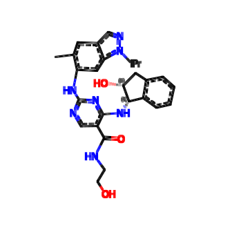 Cc1cc2cnn(C(C)C)c2cc1Nc1ncc(C(=O)NCCO)c(N[C@H]2c3ccccc3C[C@H]2O)n1